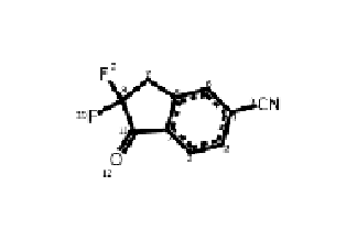 N#Cc1ccc2c(c1)CC(F)(F)C2=O